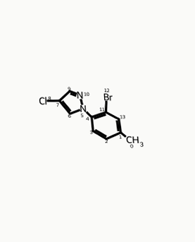 Cc1ccc(-n2cc(Cl)cn2)c(Br)c1